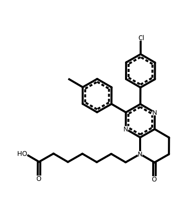 Cc1ccc(-c2nc3c(nc2-c2ccc(Cl)cc2)CCC(=O)N3CCCCCCC(=O)O)cc1